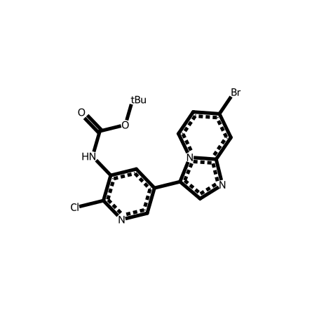 CC(C)(C)OC(=O)Nc1cc(-c2cnc3cc(Br)ccn23)cnc1Cl